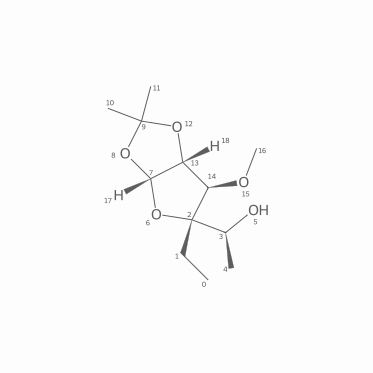 CC[C@@]1([C@H](C)O)O[C@@H]2OC(C)(C)O[C@@H]2[C@H]1OC